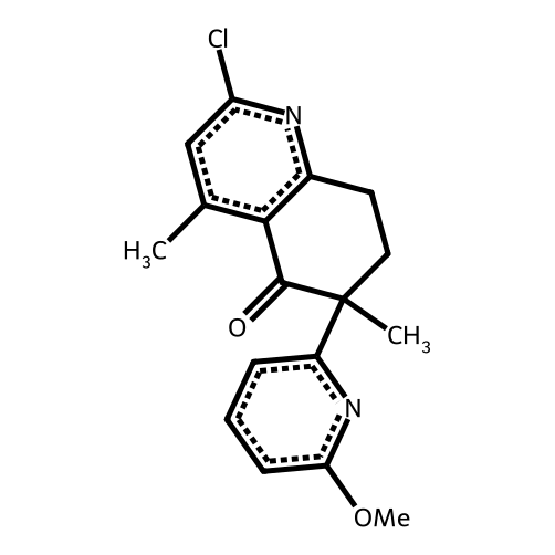 COc1cccc(C2(C)CCc3nc(Cl)cc(C)c3C2=O)n1